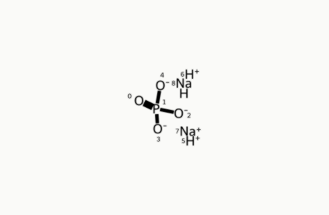 O=P([O-])([O-])[O-].[H+].[H+].[Na+].[NaH]